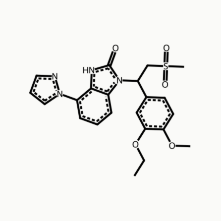 CCOc1cc(C(CS(C)(=O)=O)n2c(=O)[nH]c3c(-n4cccn4)cccc32)ccc1OC